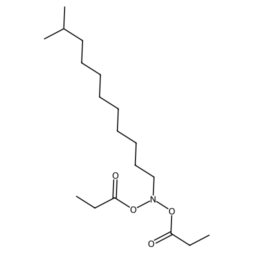 CCC(=O)ON(CCCCCCCCCC(C)C)OC(=O)CC